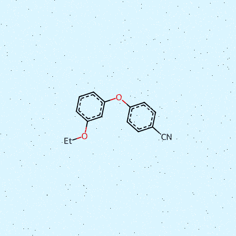 CCOc1cccc(Oc2ccc(C#N)cc2)c1